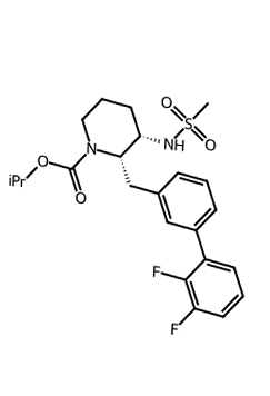 CC(C)OC(=O)N1CCC[C@H](NS(C)(=O)=O)[C@@H]1Cc1cccc(-c2cccc(F)c2F)c1